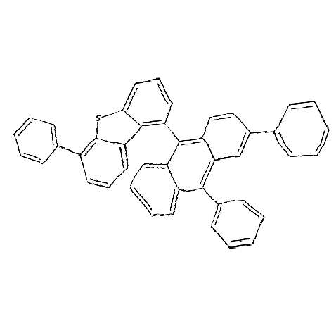 c1ccc(-c2ccc3c(-c4cccc5sc6c(-c7ccccc7)cccc6c45)c4ccccc4c(-c4ccccc4)c3c2)cc1